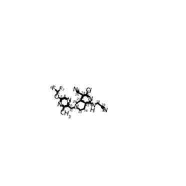 Cc1nc(OC(F)F)cnc1CN1CCc2c(NCC#N)nc(Cl)c(C#N)c2C1